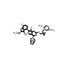 C=Nc1sc2c(F)ccc(-c3ncc4c(N5CC6CCC(C5)N6)nc(OCC5(CN6C[C@H](C)OC[C@H]6C)CC5)nc4c3F)c2c1C#N